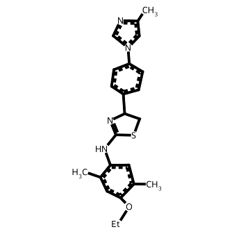 CCOc1cc(C)c(NC2=NC(c3ccc(-n4cnc(C)c4)cc3)CS2)cc1C